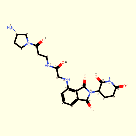 N[C@H]1CCN(C(=O)CCNC(=O)CNc2cccc3c2C(=O)N(C2CCC(=O)NC2=O)C3=O)C1